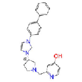 Oc1ccnc(CN2CC[C@H](N3C=CN(c4ccc(-c5ccccc5)cc4)C3)C2)c1